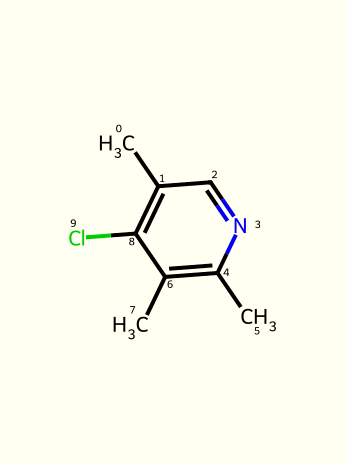 Cc1cnc(C)c(C)c1Cl